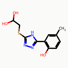 Cc1ccc(O)c(-c2nnc(SCC(O)O)[nH]2)c1